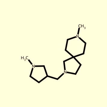 CN1CCC2(CC1)CCN(CC1CCN(C)C1)C2